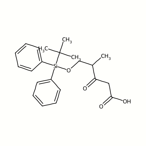 CC(CO[Si](c1ccccc1)(c1ccccc1)C(C)(C)C)C(=O)CC(=O)O